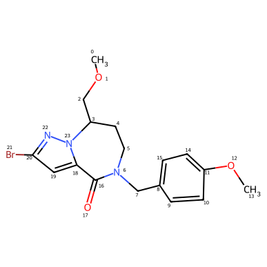 COCC1CCN(Cc2ccc(OC)cc2)C(=O)c2cc(Br)nn21